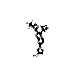 OC1CCN(c2ccn3c(-c4cnc[nH]4)c(-c4nc(C(F)(F)F)n[nH]4)nc3n2)C1